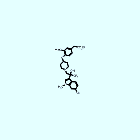 CCOC(=O)Cc1ccc(OC2CCN(CC(O)(c3cn(C)c4cc(C#N)ccc34)C(F)(F)F)CC2)c(OC)c1